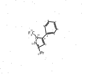 CC(C)c1cc(-c2ccccc2)n(C(F)(F)F)n1